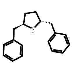 c1ccc(C[C@H]2CC[C@H](Cc3ccccc3)N2)cc1